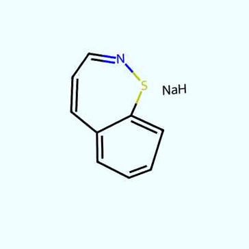 C1=Cc2ccccc2SN=C1.[NaH]